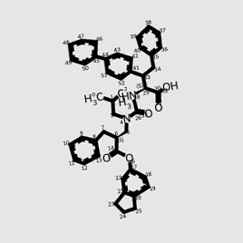 CC(C)CN(C[C@H](Cc1ccccc1)C(=O)Oc1ccc2c(c1)CCC2)C(=O)N[C@H](C(=O)O)C(Cc1ccccc1)c1ccc(-c2ccccc2)cc1